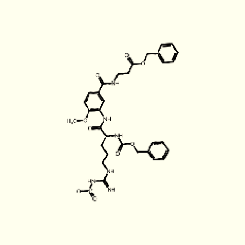 COc1ccc(C(=O)NCCC(=O)OCc2ccccc2)cc1NC(=O)[C@H](CCCNC(=N)N[N+](=O)[O-])NC(=O)OCc1ccccc1